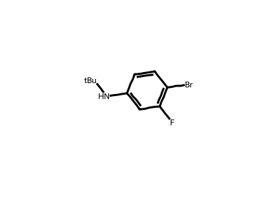 CC(C)(C)Nc1ccc(Br)c(F)c1